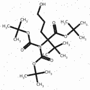 CC(C)(C)OC(=O)N(C(=O)OC(C)(C)C)C(CCCO)(C(=O)OC(C)(C)C)C(C)(C)C